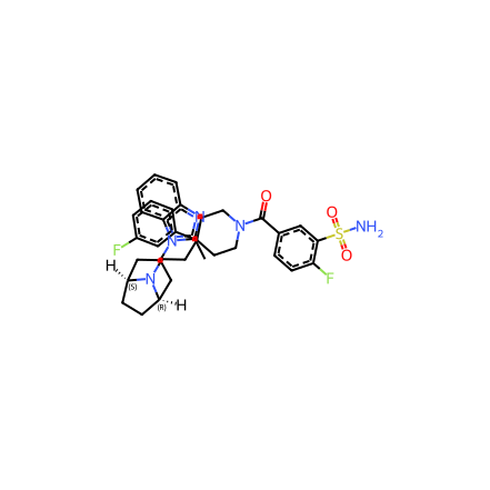 Cc1nc2ccccc2n1C1C[C@H]2CC[C@@H](C1)N2CCC1(c2cccc(F)c2)CCN(C(=O)c2ccc(F)c(S(N)(=O)=O)c2)CC1